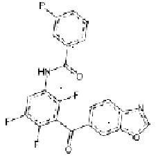 O=C(Nc1cc(F)c(F)c(C(=O)c2ccc3ncoc3c2)c1F)c1cccc(F)c1